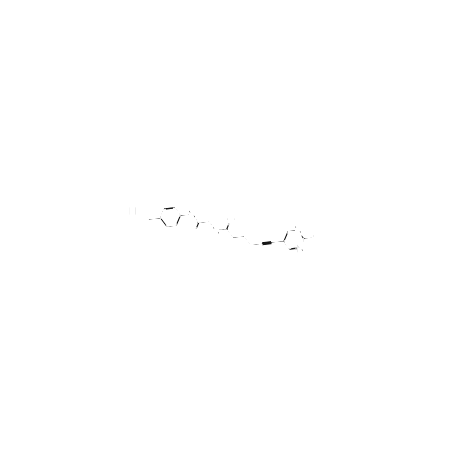 CCSc1ncc(C#CCCCC(=O)NCC(=O)Nc2ccc(CO)cc2)cn1